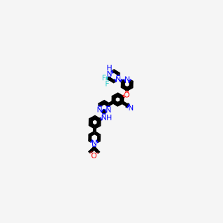 N#Cc1cc(-c2ccnc(Nc3cccc(C4CCN(C5COC5)CC4)c3)n2)ccc1Oc1ccnc(N2CCNC(F)(F)C2)c1